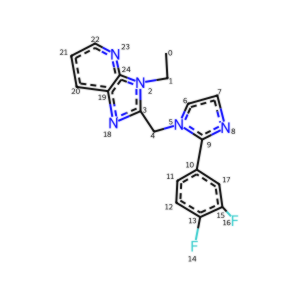 CCn1c(Cn2ccnc2-c2ccc(F)c(F)c2)nc2cccnc21